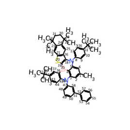 Cc1cc2c3c(c1)N(c1ccc(C(C)(C)C)cc1)c1c(sc4cc5c(cc14)C(C)(C)CCC5(C)C)B3c1cc(C(C)(C)C)ccc1N2c1cccc(-c2ccccc2)c1